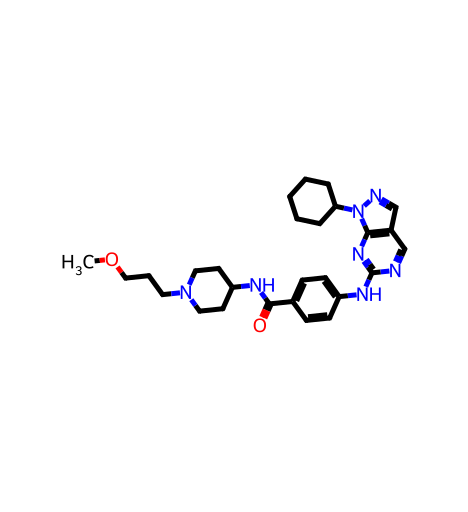 COCCCN1CCC(NC(=O)c2ccc(Nc3ncc4cnn(C5CCCCC5)c4n3)cc2)CC1